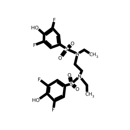 CCN(CCN(CC)S(=O)(=O)c1cc(F)c(O)c(F)c1)S(=O)(=O)c1cc(F)c(O)c(F)c1